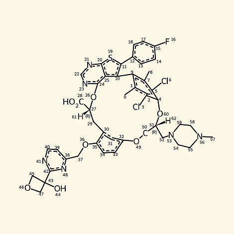 Cc1c(Cl)c2c(Cl)c(C)c1-c1c(-c3ccc(F)cc3)sc3ncnc(c13)O[C@@H](C(=O)O)Cc1cc(ccc1OCc1ccnc(C3(O)COC3)n1)OC[C@@H](CN1CCN(C)CC1)O2